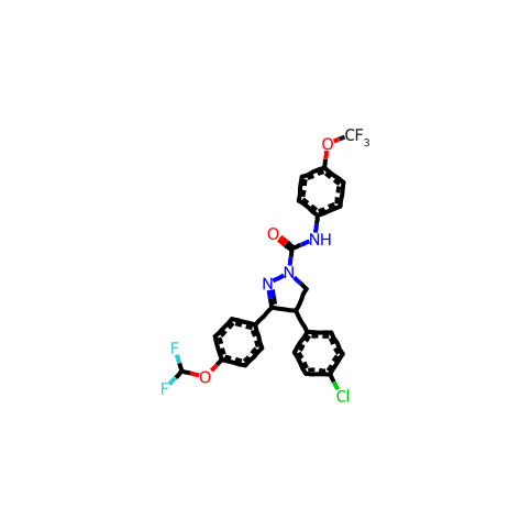 O=C(Nc1ccc(OC(F)(F)F)cc1)N1CC(c2ccc(Cl)cc2)C(c2ccc(OC(F)F)cc2)=N1